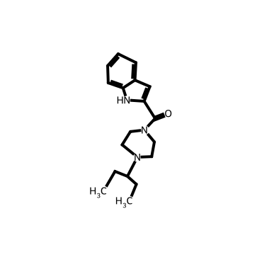 CCC(CC)N1CCN(C(=O)c2cc3ccccc3[nH]2)CC1